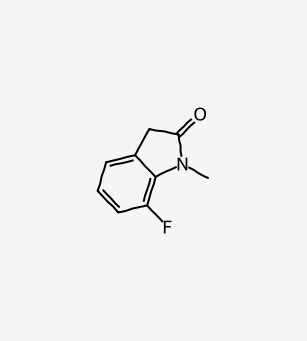 CN1C(=O)Cc2cccc(F)c21